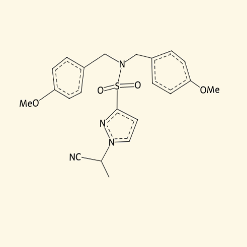 COc1ccc(CN(Cc2ccc(OC)cc2)S(=O)(=O)c2ccn(C(C)C#N)n2)cc1